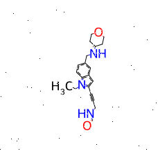 CCn1c(C#CCNC=O)cc2cc(CNC3CCOCC3)ccc21